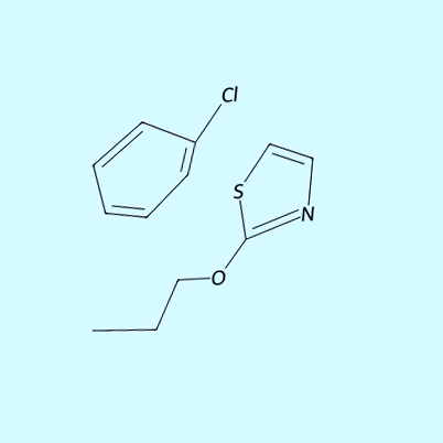 CCCOc1nccs1.Clc1ccccc1